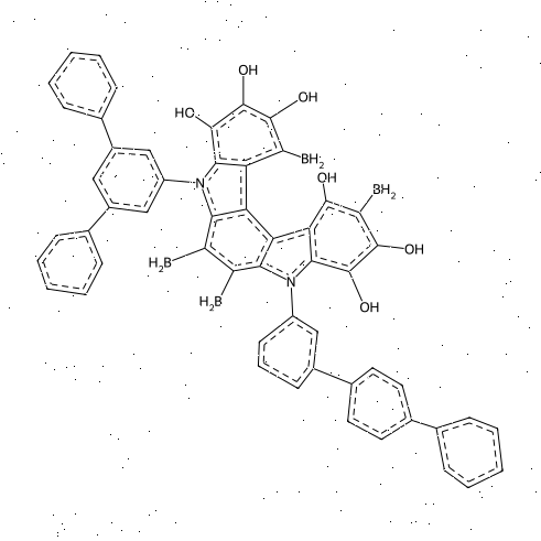 Bc1c(O)c(O)c2c(c1O)c1c3c4c(B)c(O)c(O)c(O)c4n(-c4cc(-c5ccccc5)cc(-c5ccccc5)c4)c3c(B)c(B)c1n2-c1cccc(-c2ccc(-c3ccccc3)cc2)c1